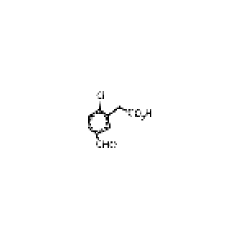 O=Cc1ccc(Cl)c(CC(=O)O)c1